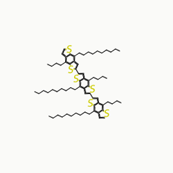 CCCCCCCCCCc1c2cc(-c3cc4c(CCCC)c5sc(-c6cc7c(CCCC)c8sccc8c(CCCCCCCCCC)c7s6)cc5c(CCCCCCCCCC)c4s3)sc2c(CCCC)c2ccsc12